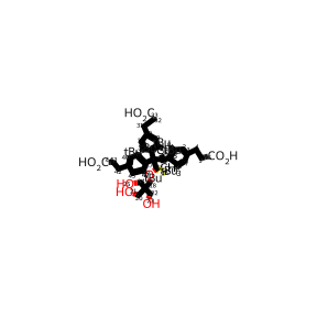 CC(C)(C)c1cc(CCC(=O)O)cc(C(C)(C)C)c1C(C)(C)C(C(=S)OCC(CO)(CO)CO)(c1c(C(C)(C)C)cc(CCC(=O)O)cc1C(C)(C)C)c1c(C(C)(C)C)cc(CCC(=O)O)cc1C(C)(C)C